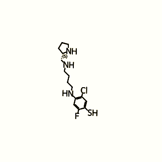 Fc1cc(NCCCCNC[C@@H]2CCCN2)c(Cl)cc1S